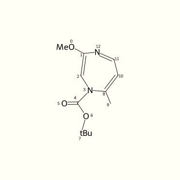 COC1=CN(C(=O)OC(C)(C)C)C(C)=CC=N1